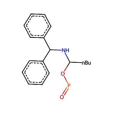 CCCCC(NC(c1ccccc1)c1ccccc1)OP=O